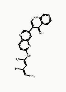 CN/C=C(\C(=N)c1ccncc1)c1cnc2ccc(N/C(N)=C/C(=C\N)C(C)C)nc2c1